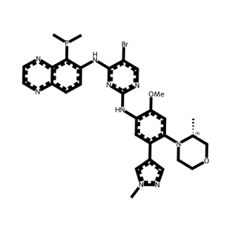 COc1cc(N2CCOC[C@H]2C)c(-c2cnn(C)c2)cc1Nc1ncc(Br)c(Nc2ccc3nccnc3c2P(C)C)n1